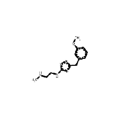 CNCCNc1nc(Cc2cccc(OC)c2)ns1